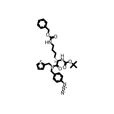 CC(C)(C)OC(=O)N[C@@H](CCCCNC(=O)OCc1ccccc1)C(=O)N(Cc1ccc(N=[N+]=[N-])cc1)Cc1cccs1